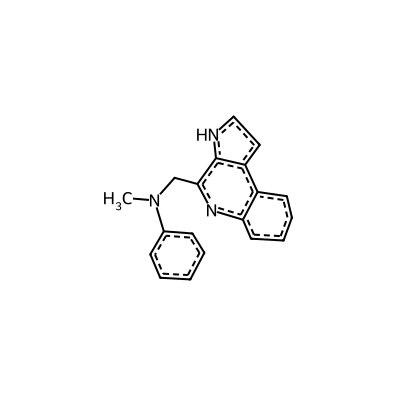 CN(Cc1nc2ccccc2c2cc[nH]c12)c1ccccc1